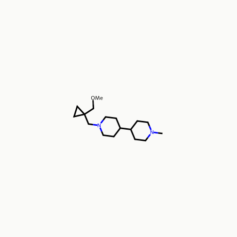 COCC1(CN2CCC(C3CCN(C)CC3)CC2)CC1